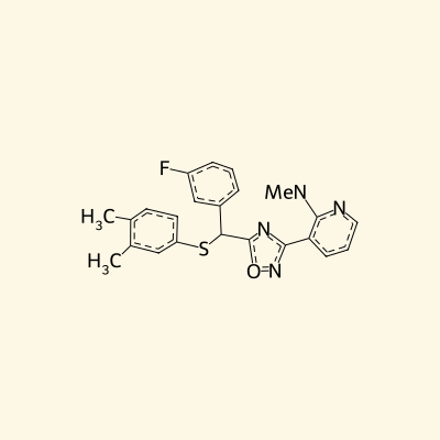 CNc1ncccc1-c1noc(C(Sc2ccc(C)c(C)c2)c2cccc(F)c2)n1